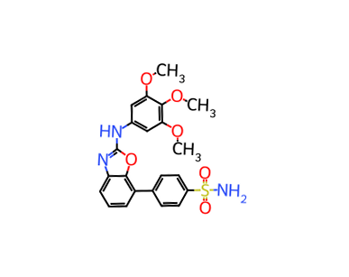 COc1cc(Nc2nc3cccc(-c4ccc(S(N)(=O)=O)cc4)c3o2)cc(OC)c1OC